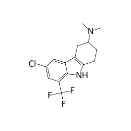 CN(C)C1CCc2[nH]c3c(C(F)(F)F)cc(Cl)cc3c2C1